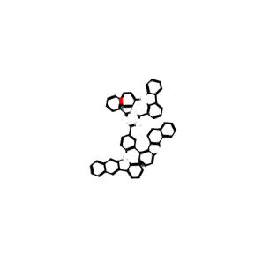 c1ccc(-c2nc(-c3ccc(-n4c5ccccc5c5cc6ccccc6cc54)c(-c4cccc5oc6c7ccccc7ccc6c45)c3)nc(-c3cccc4c5ccccc5n(-c5ccccc5)c34)n2)cc1